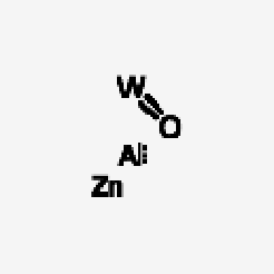 [Al].[O]=[W].[Zn]